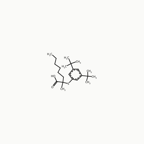 CCCCCCC(C)(Sc1cc(C(C)(C)C)cc(C(C)(C)C)c1)C(=O)O